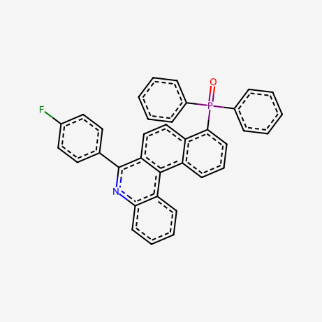 O=P(c1ccccc1)(c1ccccc1)c1cccc2c1ccc1c(-c3ccc(F)cc3)nc3ccccc3c12